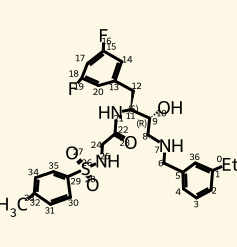 CCc1cccc(CNC[C@@H](O)[C@H](Cc2cc(F)cc(F)c2)NC(=O)CNS(=O)(=O)c2ccc(C)cc2)c1